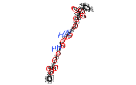 O=C(COCC(=O)NCCOCCOCCC(=O)C(=O)OCc1ccccc1)NCCOCCOCCC(=O)C(=O)OCc1ccccc1